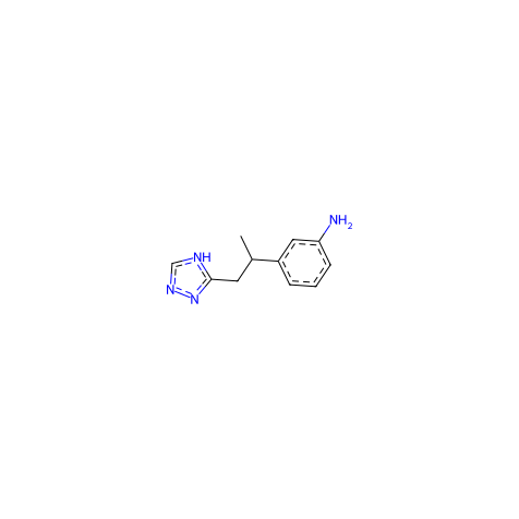 CC(Cc1nnc[nH]1)c1cccc(N)c1